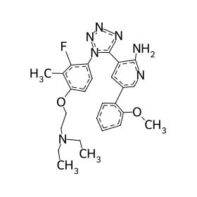 CCN(CC)CCOc1ccc(-n2nnnc2-c2cc(-c3ccccc3OC)cnc2N)c(F)c1C